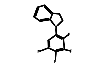 Fc1cc(N2CCc3ccccc32)c(F)c(F)c1F